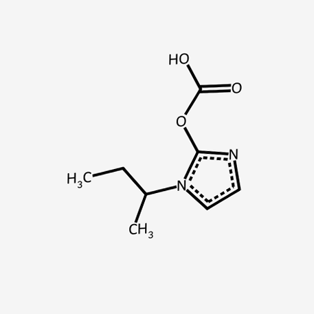 CCC(C)n1ccnc1OC(=O)O